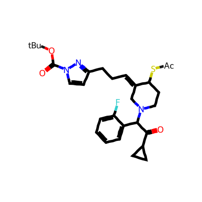 CC(=O)SC1CCN(C(C(=O)C2CC2)c2ccccc2F)C/C1=C\CCc1ccn(C(=O)OC(C)(C)C)n1